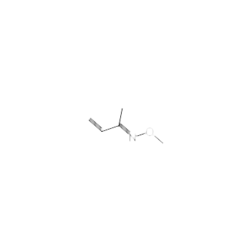 C=C/C(C)=N/OC